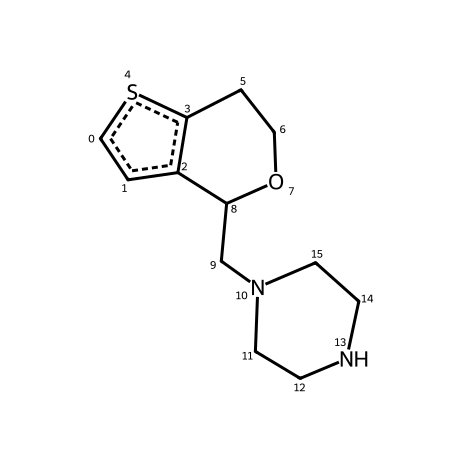 c1cc2c(s1)CCOC2CN1CCNCC1